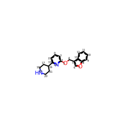 c1cc(OCc2coc3ccccc23)nc(C2CCNCC2)c1